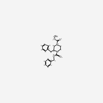 CC(C)(C)OC(=O)N1CCN(C(=O)OCc2ccccc2)C(Cc2ccccc2)C1